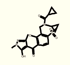 Cc1nn(C)c(O)c1C(=O)c1ccc(S(C)(=O)=O)c(CN(C(=O)C2CC2)C2CC2)c1Cl